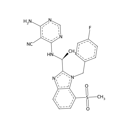 C[C@H](Nc1ncnc(N)c1C#N)c1nc2cccc(S(C)(=O)=O)c2n1Cc1ccc(F)cc1